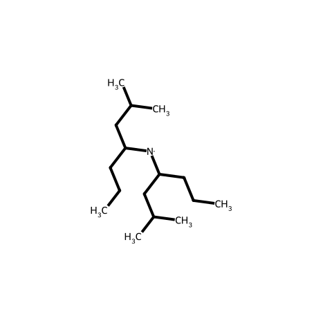 CCCC(CC(C)C)[N]C(CCC)CC(C)C